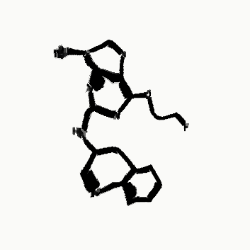 CCCCn1cnc2c(OCCF)nc(Nc3cnc4ccccc4c3)nc21